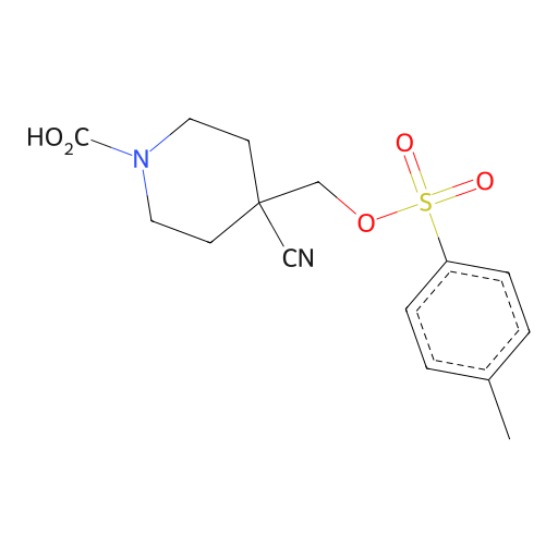 Cc1ccc(S(=O)(=O)OCC2(C#N)CCN(C(=O)O)CC2)cc1